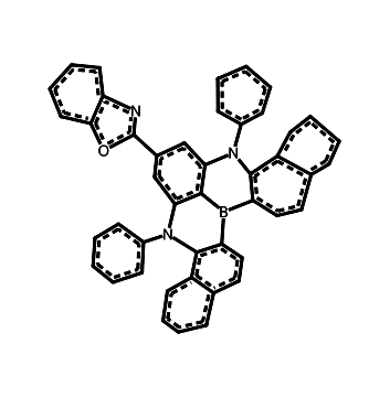 c1ccc(N2c3cc(-c4nc5ccccc5o4)cc4c3B(c3ccc5ccccc5c32)c2ccc3ccccc3c2N4c2ccccc2)cc1